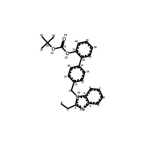 CCc1nc2ccccc2n1Cc1ccc(-c2ccccc2OC(=O)OC(C)(C)C)cc1